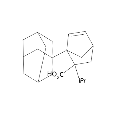 CC(C)C1(C(=O)O)CC2C=CC1(C13CC4CC(CC(C4)C1)C3)C2